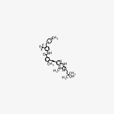 COc1nn(CCC(C)(C)O)cc1Nc1ncc(C#Cc2cc(C(=O)Nc3ccc(CN4CCN(C)CC4)c(C(F)(F)F)c3)ccc2C)cn1